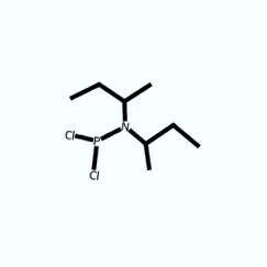 CCC(C)N(C(C)CC)P(Cl)Cl